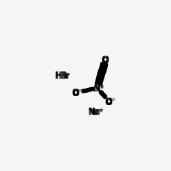 Br.O=[N+]([O-])[O-].[Na+]